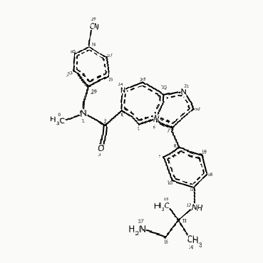 CN(C(=O)c1cn2c(-c3ccc(NC(C)(C)CN)cc3)cnc2cn1)c1ccc(C#N)cc1